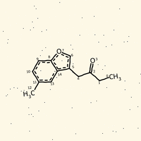 CCC(=O)Cc1coc2ccc(C)cc12